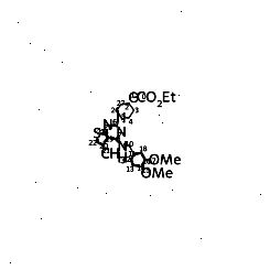 CCOC(=O)OC1CCN(c2nc(NCc3ccc(OC)c(OC)c3)c3c(C)csc3n2)CC1